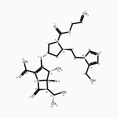 C=CCOC(=O)N1C[C@@H](SC2=C(C(=O)O)N3C(=O)[C@H]([C@@H](C)O)[C@H]3[C@H]2C)C[C@@H]1CCn1cncc1CO